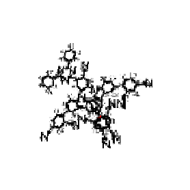 N#Cc1ccc(-c2ccc3c(c2)c2cc(-c4ccc(C#N)cc4C#N)ccc2n3-c2cc(C#N)c(-c3nc(-c4ccccc4)nc(-c4ccccc4)n3)cc2-n2c3ccc(-c4ccc(C#N)cc4C#N)cc3c3cc(-c4ccc(C#N)cc4C#N)ccc32)c(C#N)c1